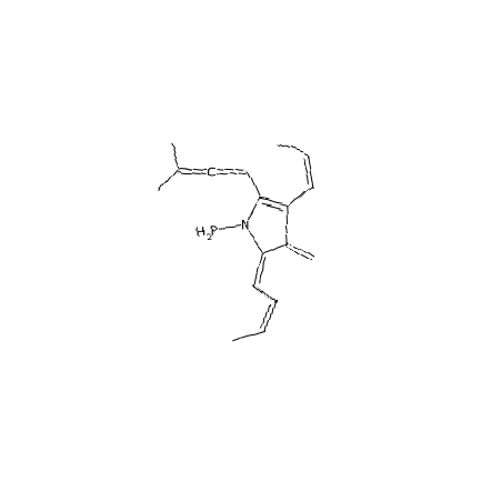 C=c1c(/C=C\C)c(C=C=C(C)C)n(P)/c1=C/C=C\C